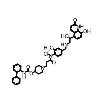 Cc1cc(CNCC(O)c2ccc(O)c3[nH]c(=O)ccc23)ccc1N(Cl)C(=O)CCN1CCC(OC(=O)Nc2ccccc2-c2ccccc2)CC1